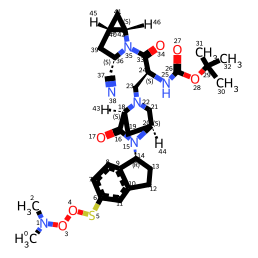 CN(C)OOSc1ccc2c(c1)CC[C@H]2N1C(=O)[C@@H]2C[C@H]1CN2C[C@H](NC(=O)OC(C)(C)C)C(=O)N1[C@H](C#N)C[C@@H]2C[C@@H]21